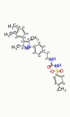 Cc1ccc(S(=O)(=O)NC(=O)NCCc2ccc(-n3nc(C)c(-c4ccc(C)c(C)c4)c3C)cc2)cc1